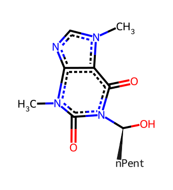 CCCCC[C@H](O)n1c(=O)c2c(ncn2C)n(C)c1=O